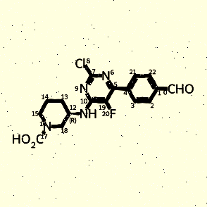 O=Cc1ccc(-c2nc(Cl)nc(N[C@@H]3CCCN(C(=O)O)C3)c2F)cc1